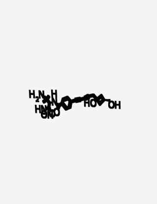 CC(C)(N)[C@H](NC(=O)c1ccc(C#CC#CC[C@]2(O)C[C@@H](CO)C2)cc1)C(=O)NO